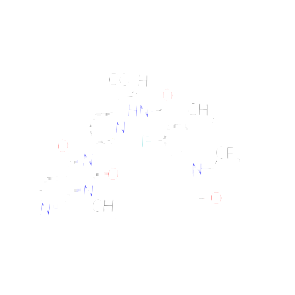 Cc1cc(N2CCOC[C@@H]2C(F)(F)F)cc(F)c1C(=O)NC(Cc1ccc(-n2c(=O)c3ccncc3n(C)c2=O)cn1)C(=O)O